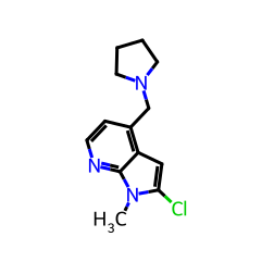 Cn1c(Cl)cc2c(CN3CCCC3)ccnc21